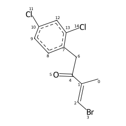 C/C(=C\Br)C(=O)Cc1ccc(Cl)cc1Cl